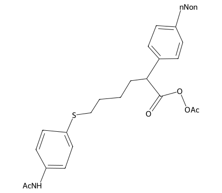 CCCCCCCCCc1ccc(C(CCCCSc2ccc(NC(C)=O)cc2)C(=O)OOC(C)=O)cc1